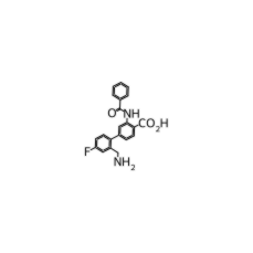 NCc1cc(F)ccc1-c1ccc(C(=O)O)c(NC(=O)c2ccccc2)c1